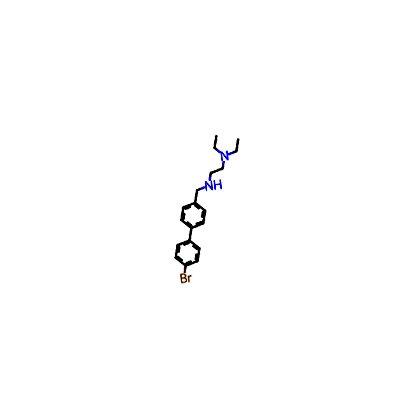 CCN(CC)CCNCc1ccc(-c2ccc(Br)cc2)cc1